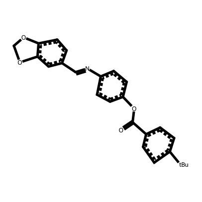 CC(C)(C)c1ccc(C(=O)Oc2ccc(/N=C/c3ccc4c(c3)OCO4)cc2)cc1